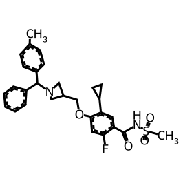 Cc1ccc(C(c2ccccc2)N2CC(COc3cc(F)c(C(=O)NS(C)(=O)=O)cc3C3CC3)C2)cc1